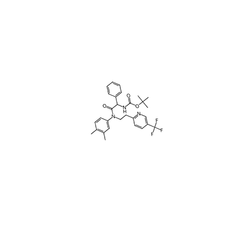 Cc1ccc(N(CCc2ccc(C(F)(F)F)cn2)C(=O)C(NC(=O)OC(C)(C)C)c2ccccc2)cc1C